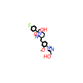 COc1cc(/C=C2\CCCN3C2=NOC3(CO)c2ccc(F)cc2)ccc1-n1cnc(CO)c1